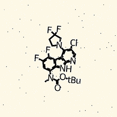 CN(C(=O)OC(C)(C)C)c1cc(F)c(F)c2c1[nH]c1ncc(Cl)c(N3CCC(F)(F)C3)c12